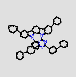 c1ccc(-c2ccc(-c3nc(-c4cccc(-c5ccccc5)c4)nc(-n4c5ccc(-c6ccccc6)cc5c5ccc6c7cc(-c8ccccc8)ccc7n(-c7ccccc7)c6c54)n3)cc2)cc1